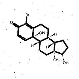 C[C@]12CC[C@H]3[C@@H](CCC4=C(Br)C(=O)C=C[C@@]43O)[C@@H]1CC[C@@H]2O